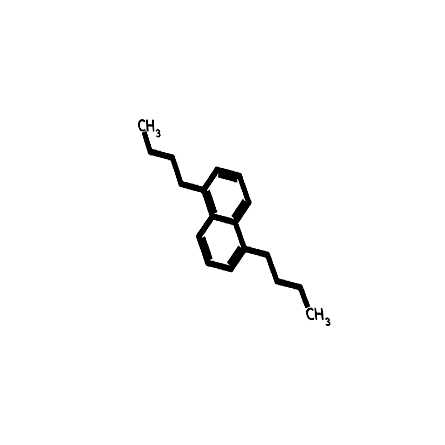 CCCCc1cccc2c(CCCC)cccc12